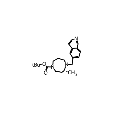 C[C@@H]1CCN(C(=O)OC(C)(C)C)CCCN1Cc1ccc2cnccc2c1